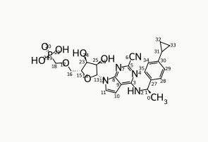 C[C@@H](Nc1nc(C#N)nc2c1ccn2[C@@H]1O[C@H](COCP(=O)(O)O)[C@@H](O)[C@H]1O)c1ccc(C2CC2)cc1